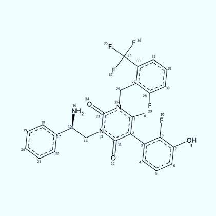 Cc1c(-c2cccc(O)c2F)c(=O)n(C[C@H](N)c2ccccc2)c(=O)n1Cc1c(F)cccc1C(F)(F)F